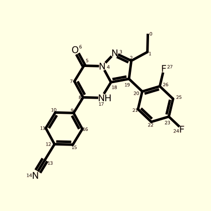 CCc1nn2c(=O)cc(-c3ccc(C#N)cc3)[nH]c2c1-c1ccc(F)cc1F